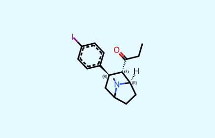 CCC(=O)[C@@H]1[C@H]2CCC(C[C@H]1c1ccc(I)cc1)N2C